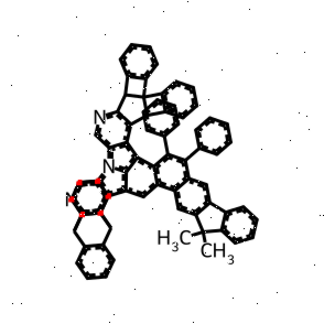 CC1(C)c2ccccc2-c2cc3c(-c4ccccc4)c(-c4ccccc4)c4c(cc5c6c7c(ncc6n6c8cnc9c(c8c4c56)C4c5ccccc5C45c4ccccc4C95)C4c5ccccc5C7c5ccccc54)c3cc21